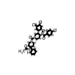 CC(=O)NC1(c2ccccc2)CCN(C(=O)N2CC[C@@H](N(C)C(=O)c3ccc(Cl)cc3)[C@H](c3ccc(Cl)c(Cl)c3)C2)CC1